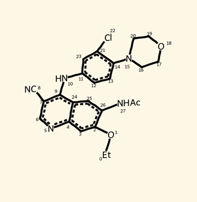 CCOc1cc2ncc(C#N)c(Nc3ccc(N4CCOCC4)c(Cl)c3)c2cc1NC(C)=O